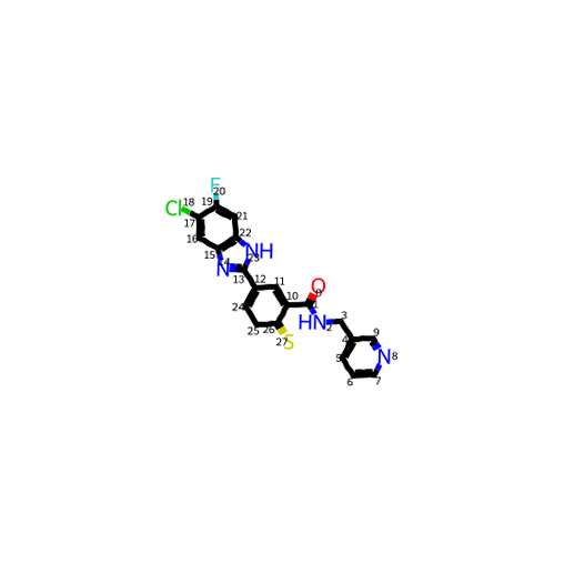 O=C(NCc1cccnc1)C1=CC(c2nc3cc(Cl)c(F)cc3[nH]2)=CCC1=S